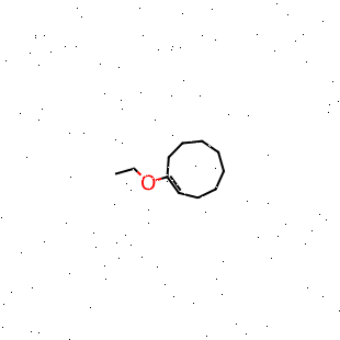 CCO/C1=C/CCCCCCC1